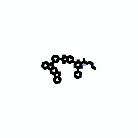 C=C/C=C\C=C(/C)c1nc(-c2ccccc2)nc(-c2ccc3oc(-c4cccc(-n5c6ccccc6c6cc7c(cc65)sc5ccccc57)c4)nc3c2)n1